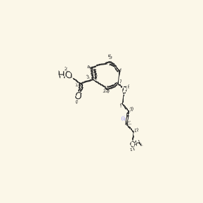 O=C(O)c1cccc(OC/C=C/CO)c1